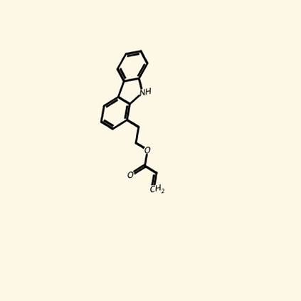 C=CC(=O)OCCc1cccc2c1[nH]c1ccccc12